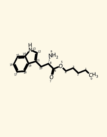 CCCCCOC(=O)[C@@H](N)Cc1c[nH]c2ccccc12